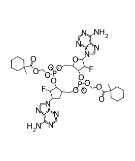 CC1(C(=O)OCOP2(=O)OCC3OC(n4cnc5c(N)ncnc54)C(F)C3OP(=O)(OCOC(=O)C3(C)CCCCC3)OCC3CC(n4cnc5c(N)ncnc54)C(F)C3O2)CCCCC1